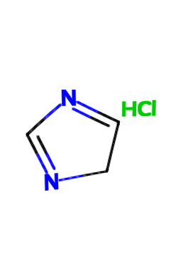 C1=NC=NC1.Cl